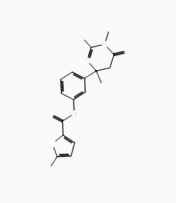 CN1C(=O)CC(C)(c2cccc(NC(=O)c3ccc(Br)o3)c2)N=C1N